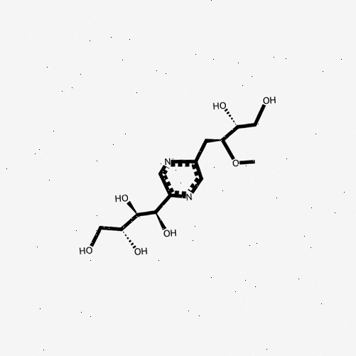 CO[C@@H](Cc1cnc([C@@H](O)[C@H](O)[C@H](O)CO)cn1)[C@H](O)CO